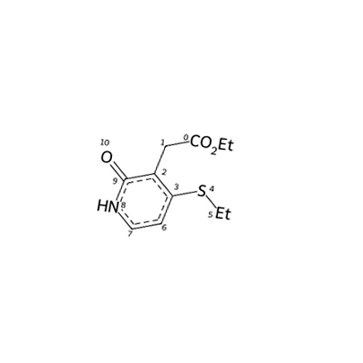 CCOC(=O)Cc1c(SCC)cc[nH]c1=O